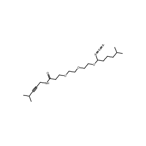 CC(C)C#CCNC(=O)CCOCCOCCOC(CCCC(C)C)N=[N+]=[N-]